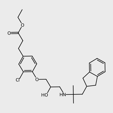 CCOC(=O)CCc1ccc(OCC(O)CNC(C)(C)CC2Cc3ccccc3C2)c(Cl)c1